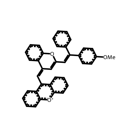 COc1ccc(C(=CC2=CC(=Cc3c4ccccc4[o+]c4ccccc34)c3ccccc3O2)c2ccccc2)cc1